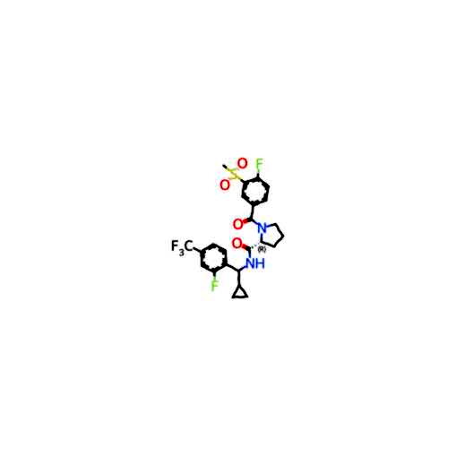 CS(=O)(=O)c1cc(C(=O)N2CCC[C@@H]2C(=O)NC(c2ccc(C(F)(F)F)cc2F)C2CC2)ccc1F